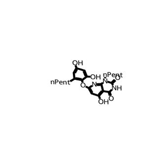 CCCCCc1cc(O)cc(O)c1Oc1cc(O)c2c(=O)[nH]c(=O)n(CCCCC)c2n1